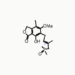 COc1c(C)c2c(c(O)c1C/C=C(\C)CP(C)(C)=O)C(=O)OC2